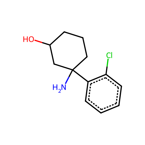 NC1(c2ccccc2Cl)CCCC(O)C1